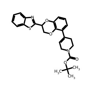 CC(C)(C)OC(=O)N1CC=C(c2cccc3c2OCC(c2nc4ccccc4s2)O3)CC1